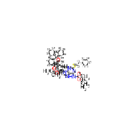 CC(C)(C)OC(=O)Nc1nc(SCCc2ccccc2)nc2c1ncn2[C@H]1[C@@H]2OC(C)(C)O[C@@H]2[C@]2(COC(c3ccccc3)(c3ccccc3)c3ccccc3)C[C@H]12